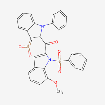 COc1cccc2cc(C(=O)C3C(=S(=O)=O)c4ccccc4N3c3ccccc3)n(S(=O)(=O)c3ccccc3)c12